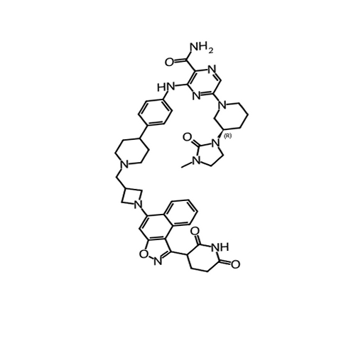 CN1CCN([C@@H]2CCCN(c3cnc(C(N)=O)c(Nc4ccc(C5CCN(CC6CN(c7cc8onc(C9CCC(=O)NC9=O)c8c8ccccc78)C6)CC5)cc4)n3)C2)C1=O